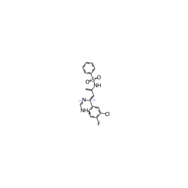 C=C(/C=C(\N=C/N)c1ccc(F)c(Cl)c1)NS(=O)(=O)c1ccccc1